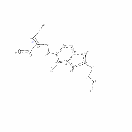 CCCCc1nc2ccc(OC/C(C=O)=C\F)c(Br)c2s1